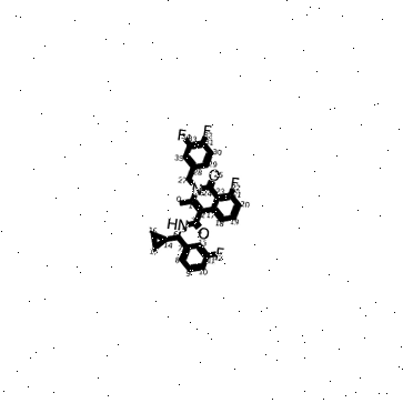 Cc1c(C(=O)N[C@H](c2cccc(F)c2)C2CC2)c2cccc(F)c2c(=O)n1Cc1ccc(F)c(F)c1